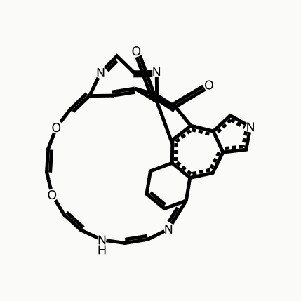 O=C1CC(=O)/C2=C\C3=CO/C=C\O/C=C\N/C=C\N=C4\C=CCc5cc(c6cncc-6cc54)C1=C2/N=C/C=N\3